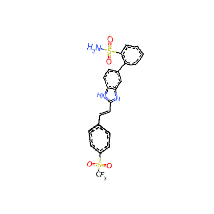 NS(=O)(=O)c1ccccc1-c1ccc2[nH]c(/C=C/c3ccc(S(=O)(=O)C(F)(F)F)cc3)nc2c1